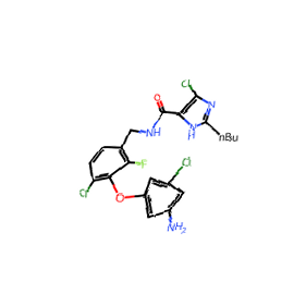 CCCCc1nc(Cl)c(C(=O)NCc2ccc(Cl)c(Oc3cc(N)cc(Cl)c3)c2F)[nH]1